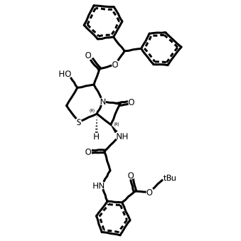 CC(C)(C)OC(=O)c1ccccc1NCC(=O)N[C@@H]1C(=O)N2C(C(=O)OC(c3ccccc3)c3ccccc3)C(O)CS[C@H]12